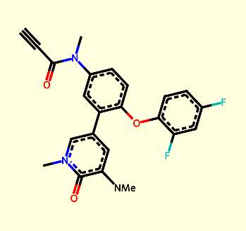 C#CC(=O)N(C)c1ccc(Oc2ccc(F)cc2F)c(-c2cc(NC)c(=O)n(C)c2)c1